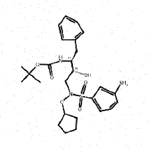 CC(C)(C)OC(=O)N[C@@H](Cc1ccccc1)[C@H](O)CN(OC1CCCC1)S(=O)(=O)c1cccc(N)c1